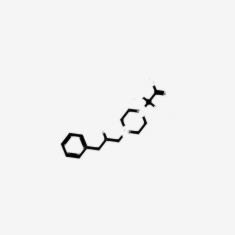 CC(C)(C(N)=O)N1CCN(CC(O)Cc2ccccc2)CC1